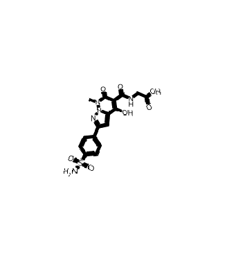 Cn1c(=O)c(C(=O)NCC(=O)O)c(O)c2cc(-c3ccc(S(N)(=O)=O)cc3)nn21